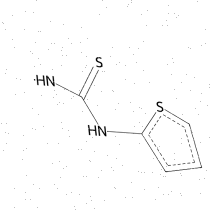 [NH]C(=S)Nc1cccs1